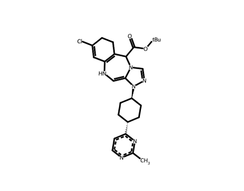 Cc1nccc([C@H]2CC[C@H](N3N=CN4C3=CNC3=C(CCC(Cl)=C3)C4C(=O)OC(C)(C)C)CC2)n1